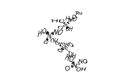 O.O=N[N+]([O-])(O)O.O=N[N+]([O-])(O)O.O=N[N+]([O-])(O)O.O=N[N+]([O-])(O)O.[Ru]